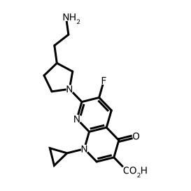 NCCC1CCN(c2nc3c(cc2F)c(=O)c(C(=O)O)cn3C2CC2)C1